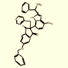 COc1ccc(C2(Cc3ccncc3)C(=O)c3ccc(OCc4ccccc4)cc3C2=O)c2[nH]c(C(OC)c3ccccc3)nc12